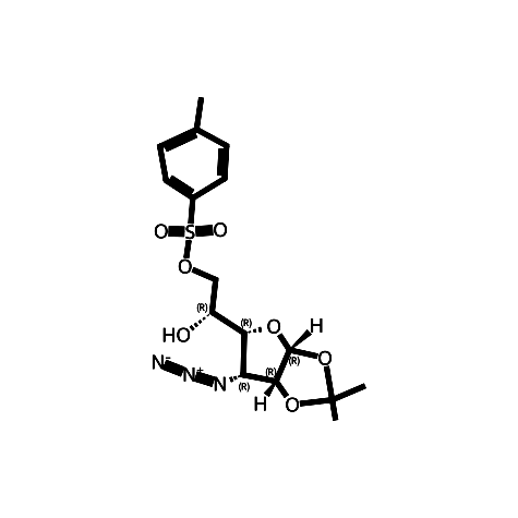 Cc1ccc(S(=O)(=O)OC[C@@H](O)[C@@H]2O[C@@H]3OC(C)(C)O[C@@H]3[C@@H]2N=[N+]=[N-])cc1